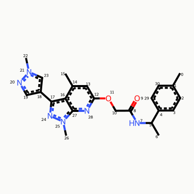 Cc1ccc(C(C)NC(=O)COc2cc(C)c3c(-c4cnn(C)c4)nn(C)c3n2)cc1